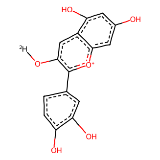 [2H]Oc1cc2c(O)cc(O)cc2[o+]c1-c1ccc(O)c(O)c1